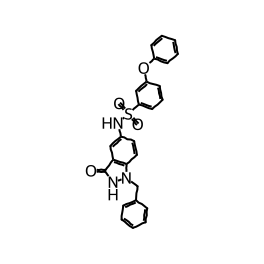 O=c1[nH]n(Cc2ccccc2)c2ccc(NS(=O)(=O)c3cccc(Oc4ccccc4)c3)cc12